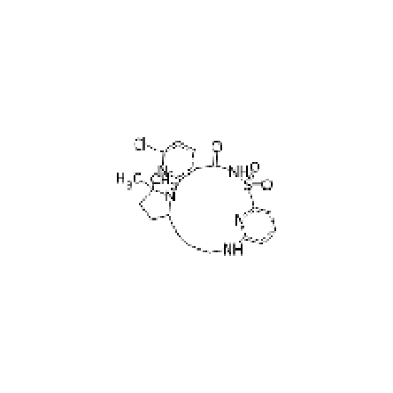 CC1(C)CCC2CCCNc3cccc(n3)S(=O)(=O)NC(=O)c3ccc(Cl)nc3N21